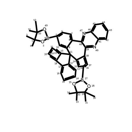 CC1(C)OB(c2ccc3c(c2)C2(c4ccccc4-c4ccccc42)c2cc(B4OC(C)(C)C(C)(C)O4)ccc2-c2nc4ccccc4nc2-3)OC1(C)C